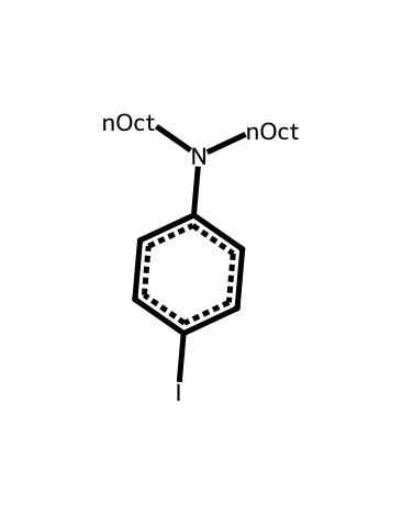 CCCCCCCCN(CCCCCCCC)c1ccc(I)cc1